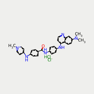 CN(C)c1ccc2c(Nc3ccc(NC(=O)c4ccc(Nc5cc[n+](C)cc5)cc4)cc3)ccnc2c1.Cl.[Cl-]